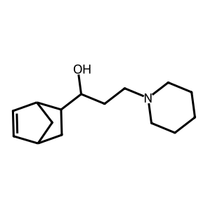 OC(CCN1CCCCC1)C1CC2C=CC1C2